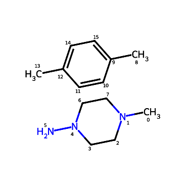 CN1CCN(N)CC1.Cc1ccc(C)cc1